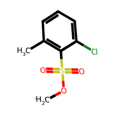 [CH2]OS(=O)(=O)c1c(C)cccc1Cl